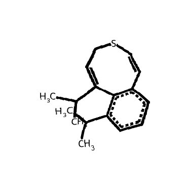 CC(C)/C1=C/CS/C=C\c2cccc(C(C)C)c21